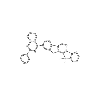 CC1(C)c2ccccc2-c2ccc3c(c21)Cc1cc(-c2nc(-c4ccccc4)nc4ccccc24)ccc1-3